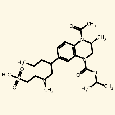 CCCC(CN(C)CCS(C)(=O)=O)c1ccc2c(c1)N(C(=O)OC(C)C)C[C@H](C)N2C(C)=O